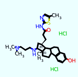 Cc1cnc(NC(=O)CC[C@@H]2CC(NCCCN(C)C)[C@@]3(C)CCC4c5ccc(O)cc5CCC4C23)s1.Cl.Cl